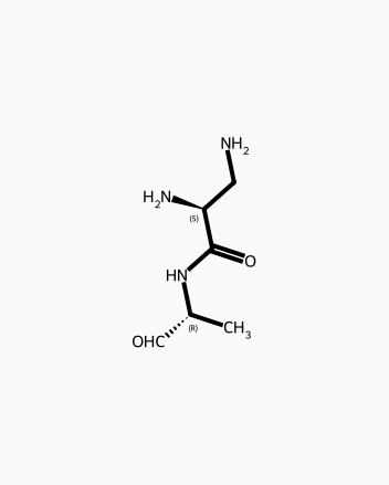 C[C@H](C=O)NC(=O)[C@@H](N)CN